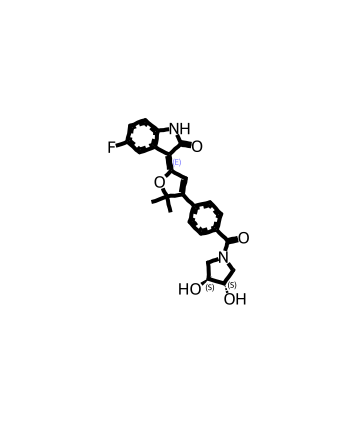 CC1(C)O/C(=C2/C(=O)Nc3ccc(F)cc32)C=C1c1ccc(C(=O)N2C[C@H](O)[C@@H](O)C2)cc1